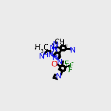 C[C@@H](C#N)CNc1cc(-c2cc(C#N)ccc2-c2nncn2C)cc(N2Cc3c(cc(CN4CCC4)cc3C(F)(F)F)C2=O)n1